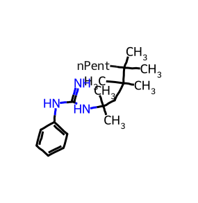 CCCCCC(C)(C)C(C)(C)CC(C)(C)NC(=N)Nc1ccccc1